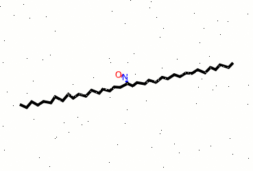 CCCCCCCCCCCCCCCCCCC(CCCCCCCCCCCCCCCCCC)N=O